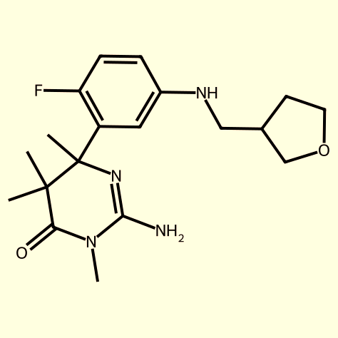 CN1C(=O)C(C)(C)C(C)(c2cc(NCC3CCOC3)ccc2F)N=C1N